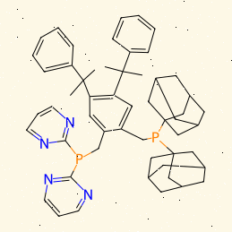 CC(C)(c1ccccc1)c1cc(CP(c2ncccn2)c2ncccn2)c(CP(C23CC4CC(CC(C4)C2)C3)C23CC4CC(CC(C4)C2)C3)cc1C(C)(C)c1ccccc1